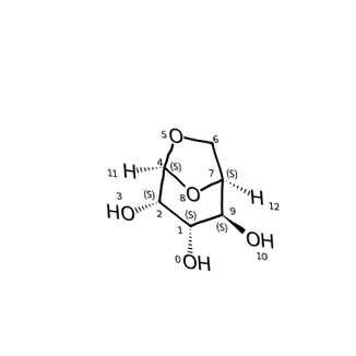 O[C@@H]1[C@H](O)[C@H]2OC[C@H](O2)[C@H]1O